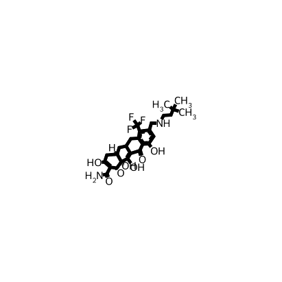 CC(C)(C)CCNCc1cc(O)c2c(c1C(F)(F)F)CC1C[C@H]3CC(O)=C(C(N)=O)C(=O)[C@@]3(O)C(O)=C1C2=O